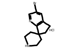 Brc1cnc2c(c1)CCC21CCNCC1.Cl